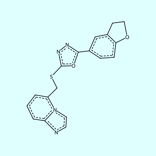 c1cc(CSc2nnc(-c3ccc4c(c3)CCO4)o2)n2ccnc2c1